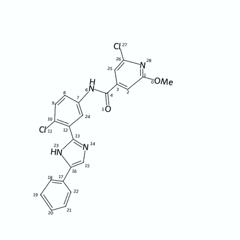 COc1cc(C(=O)Nc2ccc(Cl)c(-c3ncc(-c4ccccc4)[nH]3)c2)cc(Cl)n1